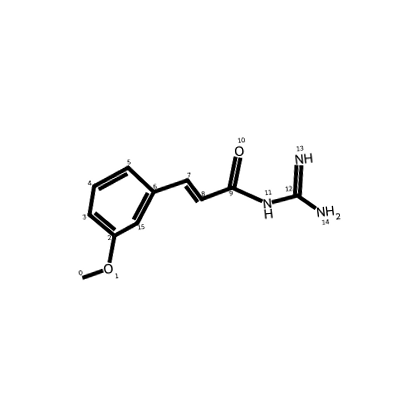 COc1cccc(/C=C/C(=O)NC(=N)N)c1